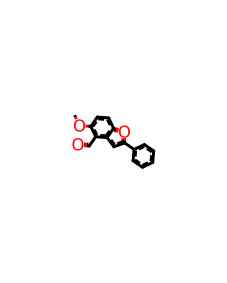 COc1ccc2oc(-c3ccccc3)cc2c1C=O